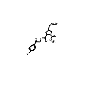 COCC1CC(C(=O)OCC(=O)c2ccc(Br)cc2)N(C(=O)OC(C)(C)C)C1